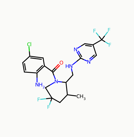 CC1CC(F)(F)CN(C(=O)c2cc(Cl)ccc2N)C1CNc1ncc(C(F)(F)F)cn1